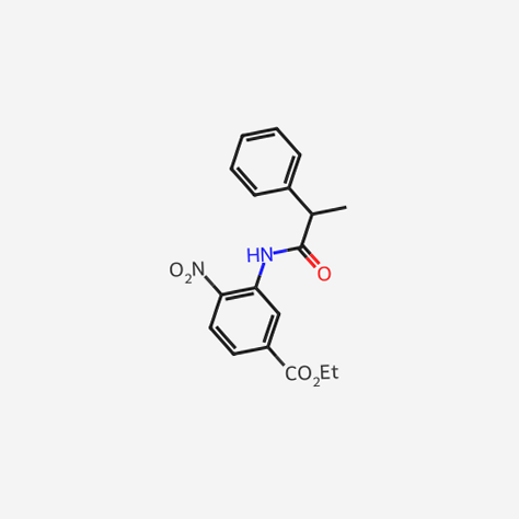 CCOC(=O)c1ccc([N+](=O)[O-])c(NC(=O)C(C)c2ccccc2)c1